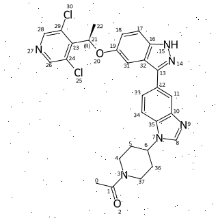 CC(=O)N1CCC(n2cnc3cc(-c4n[nH]c5ccc(O[C@H](C)c6c(Cl)cncc6Cl)cc45)ccc32)CC1